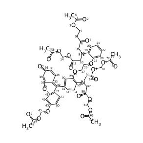 CC(=O)OCCC(=O)CN(CC(=O)OCOC(C)=O)c1ccccc1OCCOc1cc(-c2c3ccc(=O)cc-3oc3cc(OCOC(C)=O)ccc23)ccc1N(CC(=O)OCOC(C)=O)CC(=O)OCOC(C)=O